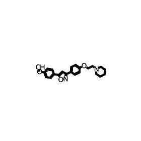 COc1ccc(-c2cc(-c3ccc(OCCN4CCCCC4)cc3)no2)cc1